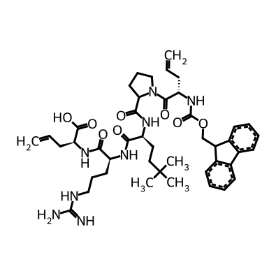 C=CC[C@H](NC(=O)[C@H](CCCNC(=N)N)NC(=O)[C@H](CCC(C)(C)C)NC(=O)C1CCCN1C(=O)[C@H](CC=C)NC(=O)OCC1c2ccccc2-c2ccccc21)C(=O)O